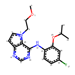 COCCn1ccc2ncnc(Nc3ccc(F)cc3OC(C)C)c21